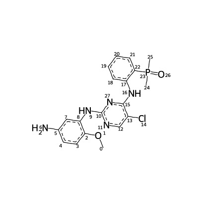 COc1ccc(N)cc1Nc1ncc(Cl)c(Nc2ccccc2P(C)(C)=O)n1